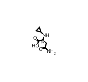 NC(=O)C[C@H](NC1CC1)C(=O)O